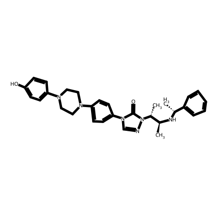 C[C@H](N[C@H](C)c1ccccc1)[C@@H](C)n1ncn(-c2ccc(N3CCN(c4ccc(O)cc4)CC3)cc2)c1=O